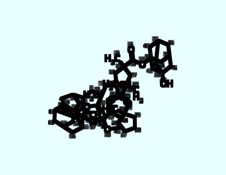 CC1C2CCC(C2)C1CC(C)(CC(C)(CC(C)(CC(C)(C)C(=O)OC1(C)CCCC1)C(=O)OC12CC3CC(CC(O)(C3)C1)C2)C(=O)OC1CCOC1=O)C(=O)OC1(C)C2CC3CC(C2)CC1C3